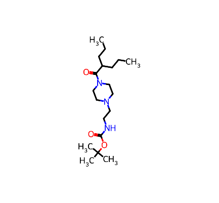 CCCC(CCC)C(=O)N1CCN(CCNC(=O)OC(C)(C)C)CC1